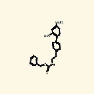 CCOC(=O)c1ccc(-c2ccc(CCNC(=O)OCc3ccccc3)cc2)c(OC)c1